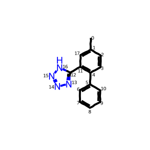 Cc1ccc(-c2ccccc2)c(-c2nnn[nH]2)c1